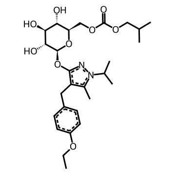 CCOc1ccc(Cc2c(O[C@@H]3O[C@H](COC(=O)OCC(C)C)[C@@H](O)[C@H](O)[C@H]3O)nn(C(C)C)c2C)cc1